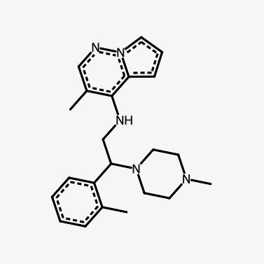 Cc1ccccc1C(CNc1c(C)cnn2cccc12)N1CCN(C)CC1